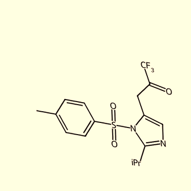 Cc1ccc(S(=O)(=O)n2c(CC(=O)C(F)(F)F)cnc2C(C)C)cc1